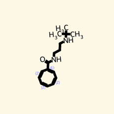 CC(C)(C)NCCCNC(=O)C1=C/C=C\C=C/C=C\1